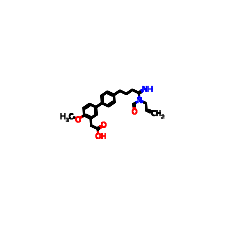 C=CCN(C=O)C(=N)CCCc1ccc(-c2ccc(OC)c(CC(=O)O)c2)cc1